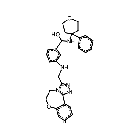 OC(NC1(c2ccccc2)CCOCC1)c1cccc(NCc2nnc3n2CCOc2cnccc2-3)c1